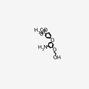 CS(=O)(=O)c1ccc(Oc2cc(N)cc(OCCO)c2)cc1